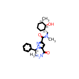 C[C@H]1CCC[C@@H](CN(C)C(=O)c2cc(C(N)=O)n([C@@H](C)c3ccccc3)n2)[C@@H]1O